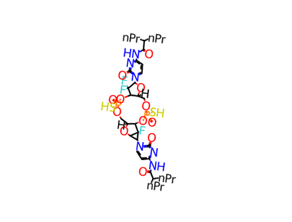 CCCC(CCC)C(=O)Nc1ccn([C@@H]2O[C@@H]3CO[P@@](=O)(S)OC4[C@@H](CO[P@@](=O)(S)OC3C2(F)F)OC2[C@@H](n3ccc(NC(=O)C(CCC)CCC)nc3=O)C42F)c(=O)n1